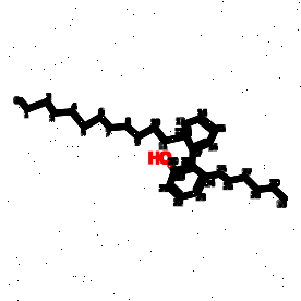 CCCCCCCCCCCCc1ccccc1-c1c(O)cccc1CCCCCC